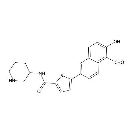 O=Cc1c(O)ccc2cc(-c3ccc(C(=O)NC4CCCNC4)s3)ccc12